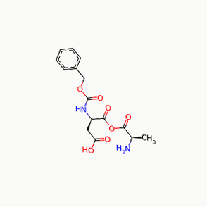 C[C@@H](N)C(=O)OC(=O)[C@@H](CC(=O)O)NC(=O)OCc1ccccc1